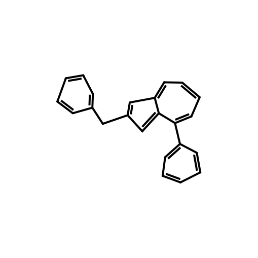 c1ccc(Cc2cc3ccccc(-c4ccccc4)c-3c2)cc1